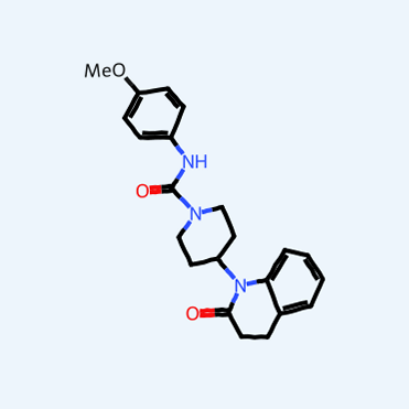 COc1ccc(NC(=O)N2CCC(N3C(=O)CCc4ccccc43)CC2)cc1